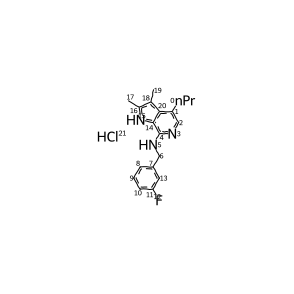 CCCc1cnc(NCc2cccc(F)c2)c2[nH]c(C)c(C)c12.Cl